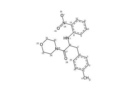 Cc1ccc(CC(Nc2ccccc2[N+](=O)[O-])C(=O)N2CCOCC2)cc1